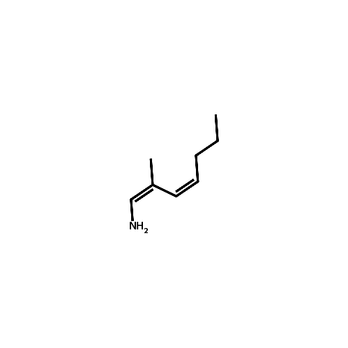 CCC/C=C\C(C)=C/N